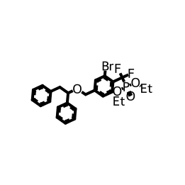 CCOP(=O)(OCC)C(F)(F)c1ccc(COC(Cc2ccccc2)c2ccccc2)cc1Br